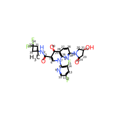 CC1(NC(=O)c2cn(-c3ncc(F)cc3F)c3nc(N4CC(O)CC4=O)ccc3c2=O)CC(F)(F)C1